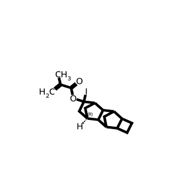 C=C(C)C(=O)OC1(I)C[C@H]2CC1C1C3CC(C4CCC43)C12